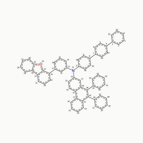 c1ccc(-c2ccc(-c3ccc(N(c4cccc(-c5cccc6c5oc5ccccc56)c4)c4ccc5c(c4)c(-c4ccccc4)c(-c4ccccc4)c4ccccc45)cc3)cc2)cc1